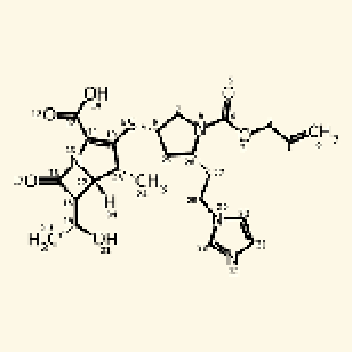 C=CCOC(=O)N1C[C@@H](SC2=C(C(=O)O)N3C(=O)[C@H]([C@@H](C)O)[C@H]3[C@H]2C)C[C@H]1CCn1ccnc1